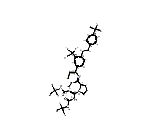 C/C=C(\N=C(/OC)C1CCCN1C(=NC(=O)OC(C)(C)C)NC(=O)OC(C)(C)C)c1ccc(CCc2ccc(C(C)(C)C)cc2)c(C(F)(F)F)c1